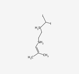 CC(C)=C[SiH2]CC[SiH2]C(I)I